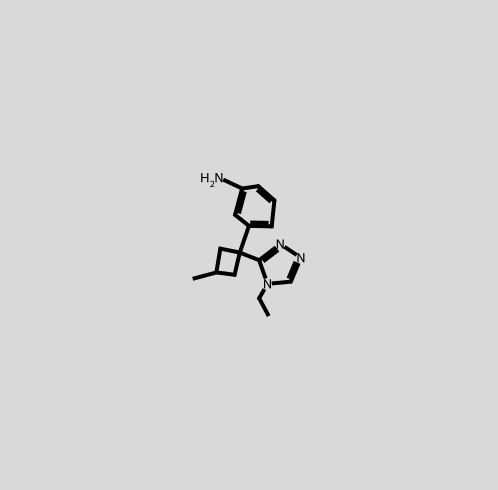 CCn1cnnc1C1(c2cccc(N)c2)CC(C)C1